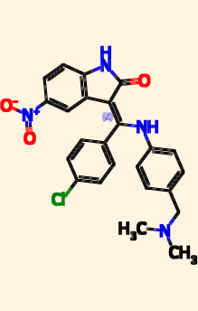 CN(C)Cc1ccc(N/C(=C2\C(=O)Nc3ccc([N+](=O)[O-])cc32)c2ccc(Cl)cc2)cc1